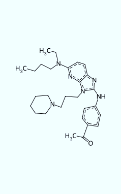 CCCCN(CC)c1ccc2nc(Nc3ccc(C(C)=O)cc3)n(CCCN3CCCCC3)c2n1